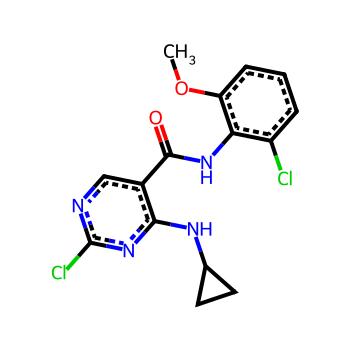 COc1cccc(Cl)c1NC(=O)c1cnc(Cl)nc1NC1CC1